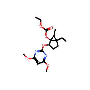 CCOC(=O)OC12C(Oc3nc(OC)cc(OC)n3)CCC1(CC)C2C